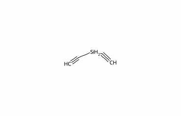 C#C[SiH2]C#C